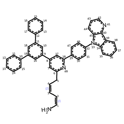 N/C=C\C=C/Cc1cc(-c2cc(-c3ccccc3)cc(-c3ccccc3)c2)cc(-c2ccc(-n3c4ccccc4c4ncccc43)cc2)n1